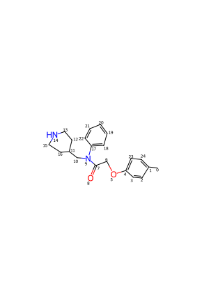 Cc1ccc(OCC(=O)N(CC2CCNCC2)c2ccccc2)cc1